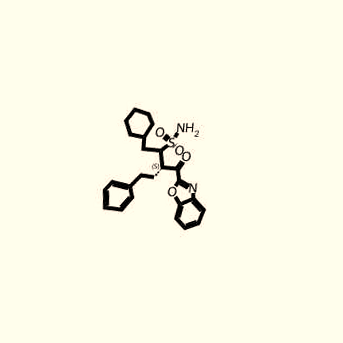 NS(=O)(=O)C(CC1CCCCC1)[C@@H](CCc1ccccc1)C(=O)c1nc2ccccc2o1